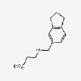 CCOC(=O)CCNCc1ccc2c(c1)CCC2